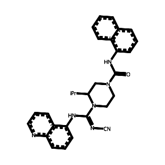 CC(C)C1CN(C(=O)Nc2cccc3ccccc23)CCN1/C(=N\C#N)Nc1cccc2ncccc12